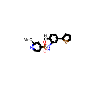 COc1cc(S(=O)(=O)Nc2cc(-c3cccs3)ccc2C)ccn1